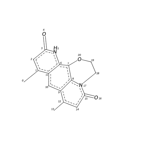 Cc1cc(=O)[nH]c2c3c4c(cc12)c(C)cc(=O)n4CCO3